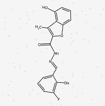 Cc1c(C(=O)N/N=C/c2cccc(F)c2O)oc2cccc(O)c12